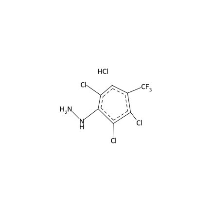 Cl.NNc1c(Cl)cc(C(F)(F)F)c(Cl)c1Cl